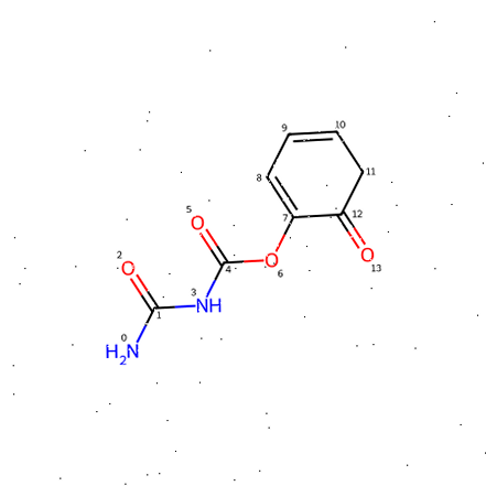 NC(=O)NC(=O)OC1=CC=CCC1=O